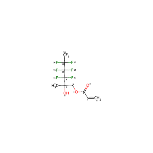 C=CC(=O)OCC(C)(O)C(F)(F)C(F)(F)C(F)(F)C(F)(F)F